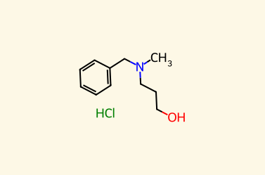 CN(CCCO)Cc1ccccc1.Cl